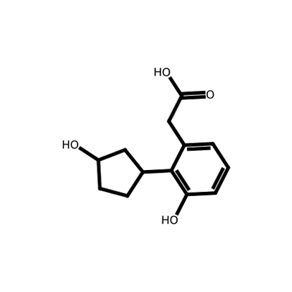 O=C(O)Cc1cccc(O)c1C1CCC(O)C1